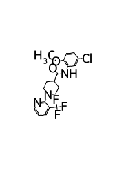 COc1ccc(Cl)cc1NC(=O)C1CCN(c2ncccc2C(F)(F)F)CC1